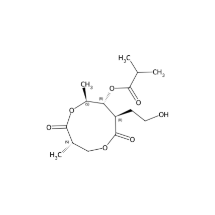 CC(C)C(=O)O[C@H]1[C@H](C)OC(=O)[C@@H](C)COC(=O)[C@@H]1CCO